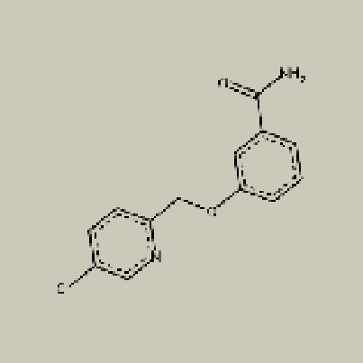 NC(=O)c1cccc(OCc2ccc(Cl)cn2)c1